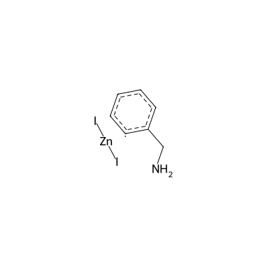 NCc1[c]cccc1.[I][Zn][I]